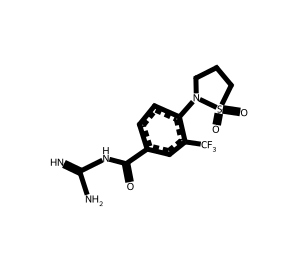 N=C(N)NC(=O)c1ccc(N2CCCS2(=O)=O)c(C(F)(F)F)c1